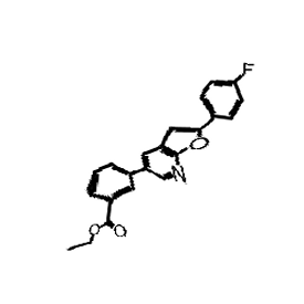 CCOC(=O)c1cccc(-c2cnc3oc(-c4ccc(F)cc4)cc3c2)c1